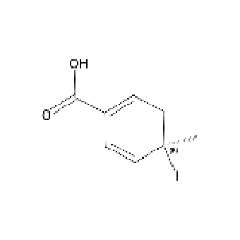 C[C@]1(I)C=CC(C(=O)O)=CC1